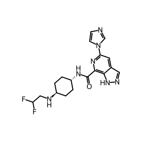 O=C(N[C@H]1CC[C@H](NCC(F)F)CC1)c1nc(-n2ccnc2)cc2cn[nH]c12